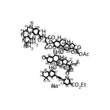 CC(=O)OCC(=O)[C@@]1(O)CC[C@H]2[C@@H]3CCC4=CC(=O)CC[C@]4(C)[C@H]3[C@@H](O)C[C@@]21C.CCC(=O)O[C@]1(C(=O)SCF)[C@H](C)C[C@H]2C3C[C@H](F)C4=CC(=O)C=C[C@]4(C)[C@@]3(F)[C@@H](O)C[C@@]21C.CCOC(=O)c1ccc(C#Cc2ccc3c(c2)C(C)(C)CCS3)nc1.CN(Cc1cnc2nc(N)nc(N)c2n1)c1ccc(C(=O)N[C@@H](CCC(=O)[O-])C(=O)O)cc1.[Na+]